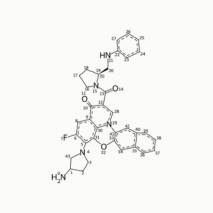 NC1CCN(c2c(F)cc3c(=O)c(C(=O)N4CCC[C@H]4CNc4ccccc4)cn4c3c2Oc2cc3ccccc3cc2-4)C1